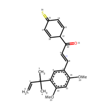 C=CC(C)(C)c1cc(/C=C/C(=O)C2C=CC(=S)C=C2)c(OC)cc1OC